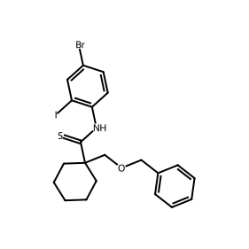 S=C(Nc1ccc(Br)cc1I)C1(COCc2ccccc2)CCCCC1